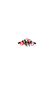 C=CO[C@@](C)(CC)[Si](C)(C)OC(C)(CC)[Si](C)(C)OC=C